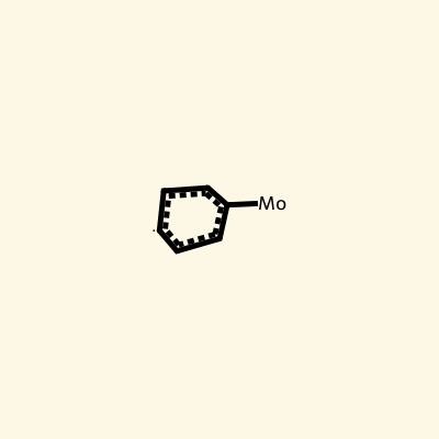 [Mo][c]1cc[c]cc1